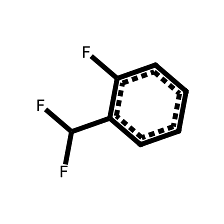 Fc1ccccc1C(F)F